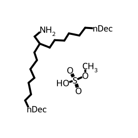 CCCCCCCCCCCCCCCCCC(CN)CCCCCCCCCCCCCCCC.COS(=O)(=O)O